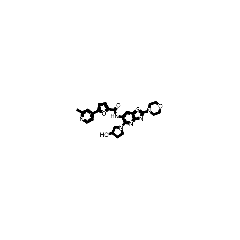 Cc1cc(-c2ccc(C(=O)Nc3cc4sc(N5CCOCC5)nc4nc3N3CCC(O)C3)o2)ccn1